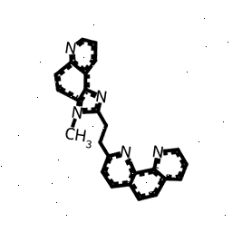 Cn1c(CCc2ccc3ccc4cccnc4c3n2)nc2c3cccnc3ccc21